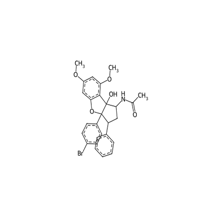 COc1cc(OC)c2c(c1)OC1(c3ccc(Br)cc3)C(c3ccccc3)CC(NC(C)=O)C21O